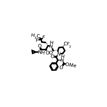 COC(=O)N[C@H](C(=O)N1CC[C@@H](C(F)(F)F)C[C@H]1C(=O)N[C@@H](CCC(C)(F)F)C(=O)C(=O)NC1CC1)c1ccccc1